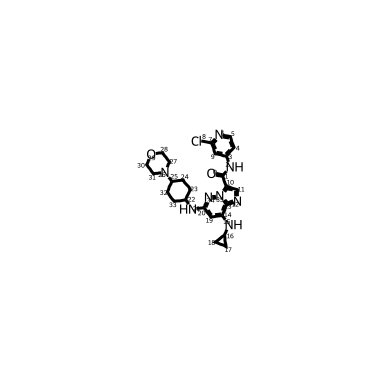 O=C(Nc1ccnc(Cl)c1)c1cnc2c(NC3CC3)cc(NC3CCC(N4CCOCC4)CC3)nn12